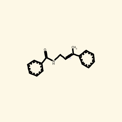 C/C(=C\CNC(=O)c1ccccc1)c1ccccc1